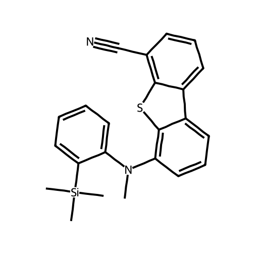 CN(c1ccccc1[Si](C)(C)C)c1cccc2c1sc1c(C#N)cccc12